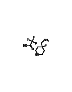 NCC1(F)CCNCC1.O=C(O)C(F)(F)F